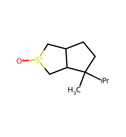 CC(C)C1(C)CCC2C[S+]([O-])CC21